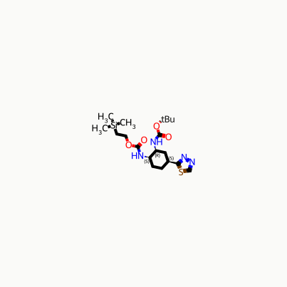 CC(C)(C)OC(=O)N[C@@H]1C[C@@H](c2nncs2)CC[C@@H]1NC(=O)OCC[Si](C)(C)C